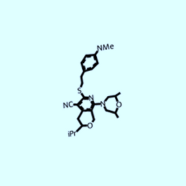 CNc1ccc(CCSc2nc(N3CC(C)OC(C)C3)c3c(c2C#N)CC(C(C)C)OC3)cc1